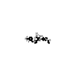 C=CC(=O)N1CC[C@]2(C1)C[C@H](n1nc(-c3ccn(Cc4cccc(C(F)(F)F)c4F)n3)c(C(N)=O)c1N)C2